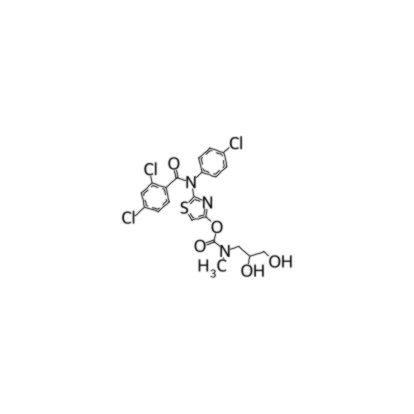 CN(CC(O)CO)C(=O)Oc1csc(N(C(=O)c2ccc(Cl)cc2Cl)c2ccc(Cl)cc2)n1